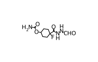 NC(=O)OC1CCC(F)(C(=O)NNC=O)CC1